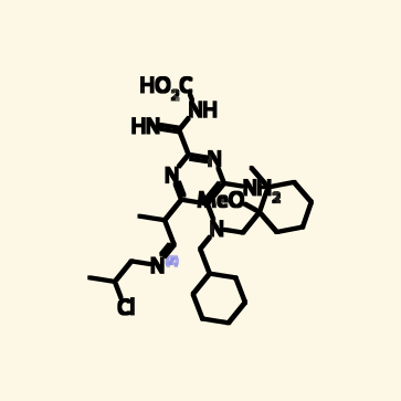 COC1(CN(CC2CCCCC2)c2c(N)nc(C(=N)NC(=O)O)nc2C(C)/C=N\CC(C)Cl)CCCCC1C